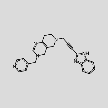 C(#Cc1nc2ccccc2[nH]1)CN1CCC2=C(CN(Cc3ccncc3)C=N2)C1